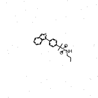 CCCNS(=O)(=O)C(C)(C)c1ccc(-c2scc3ccccc23)cc1